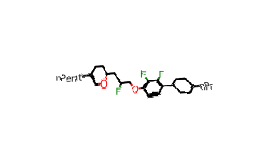 CCCCCC1CCC(CC(F)COc2ccc(C3CCC(CCC)CC3)c(F)c2F)OC1